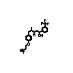 CNCCOc1ccc(CC(C)NCC(O)c2cccc(C(F)(F)F)c2)cc1